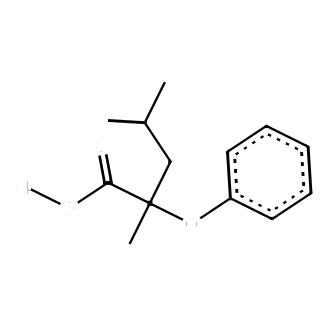 CC(C)CC(C)(Oc1ccccc1)C(=O)OCl